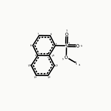 O=S(=O)(OI)c1cccc2ccccc12